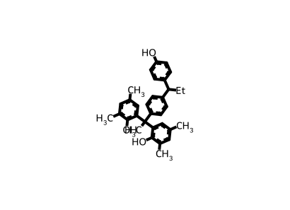 CCC(c1ccc(O)cc1)c1ccc(C(C)(c2cc(C)cc(C)c2O)c2cc(C)cc(C)c2O)cc1